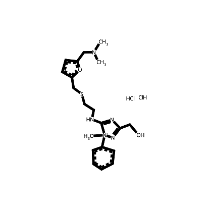 CN(C)Cc1ccc(CSCCNC2=NC(CO)=N[N+]2(C)c2ccccc2)o1.Cl.Cl